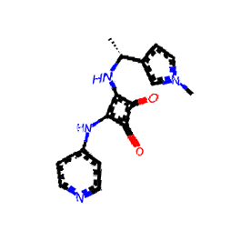 C[C@@H](Nc1c(Nc2ccncc2)c(=O)c1=O)c1ccn(C)c1